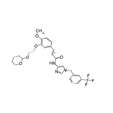 COc1ccc(/C=C/C(=O)Nc2cn(Cc3cccc(C(F)(F)F)c3)cn2)cc1OCCOC1CCCCO1